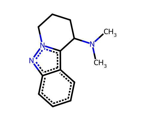 CN(C)C1CCCn2nc3ccccc3c21